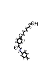 O=C(/C=C/c1ccc(F)cc1)c1ccc(OCCCCCCO)cc1